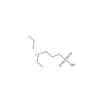 CCC[C@@H](CC)CCCS(=O)(=O)O